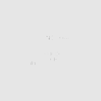 CC(=O)OC(C#N)CCP(C)(=O)OCCC(C)C